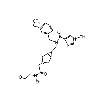 CCN(CCO)C(=O)CN1CC2C(C1)C2CN(Cc1cccc(OC(F)(F)F)c1)C(=O)c1cn(C)cn1